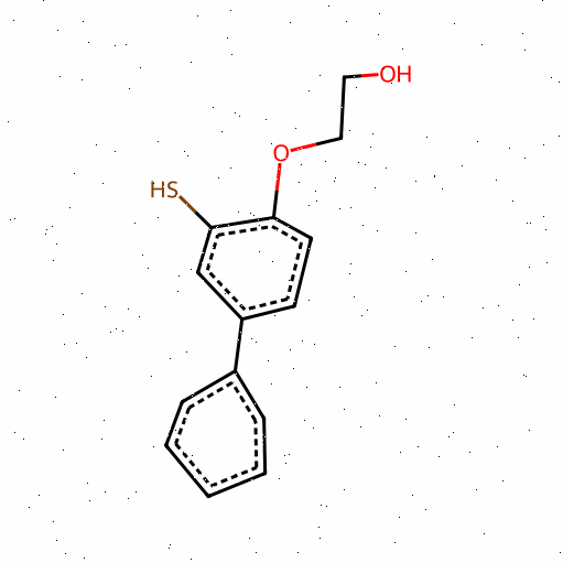 OCCOc1ccc(-c2ccccc2)cc1S